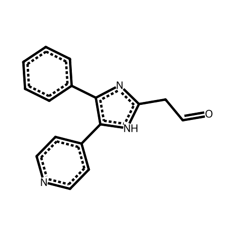 O=CCc1nc(-c2ccccc2)c(-c2ccncc2)[nH]1